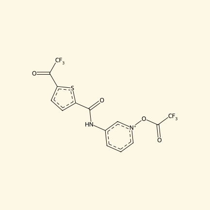 O=C(Nc1ccc[n+](OC(=O)C(F)(F)F)c1)c1ccc(C(=O)C(F)(F)F)s1